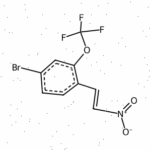 O=[N+]([O-])C=Cc1ccc(Br)cc1OC(F)(F)F